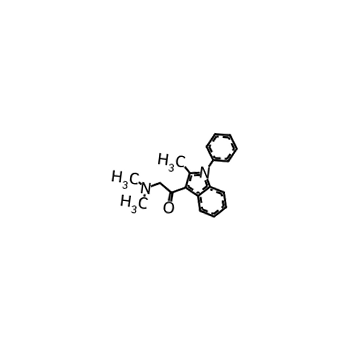 Cc1c(C(=O)CN(C)C)c2ccccc2n1-c1ccccc1